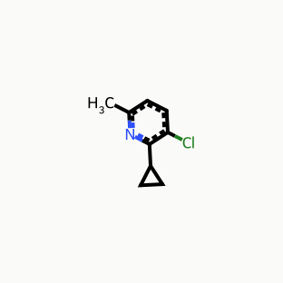 Cc1ccc(Cl)c(C2CC2)n1